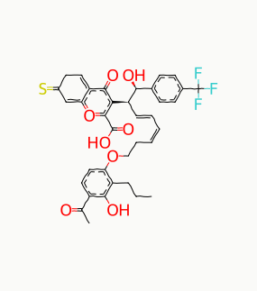 CCCc1c(OCC/C=C\C=C\[C@@H](c2c(C(=O)O)oc3c(c2=O)=CCC(=S)C=3)[C@@H](O)c2ccc(C(F)(F)F)cc2)ccc(C(C)=O)c1O